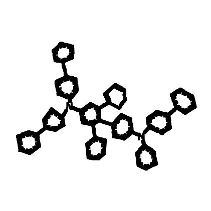 C1=CCCC(c2cc(N(c3ccc(-c4ccccc4)cc3)c3ccc(-c4ccccc4)cc3)cc(-c3ccccc3)c2-c2ccc(N(c3ccccc3)c3ccc(-c4ccccc4)cc3)cc2)=C1